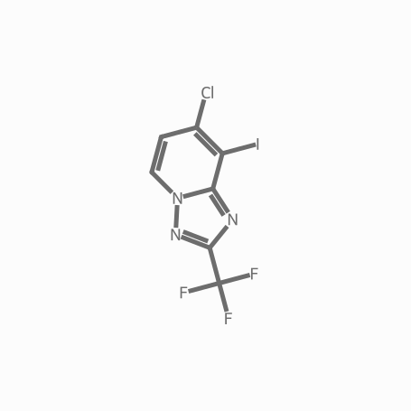 FC(F)(F)c1nc2c(I)c(Cl)ccn2n1